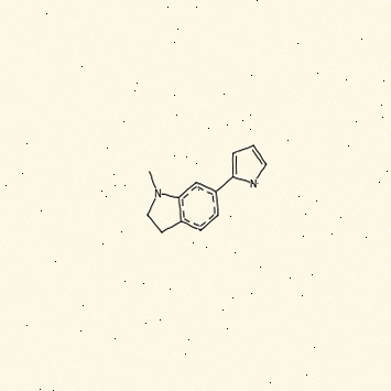 CN1CCc2ccc(C3=CC=C[N]3)cc21